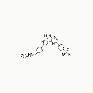 CC(C)S(=O)(=O)c1ccc(-c2cnc(N)c(C3=CC(c4ccc(CNCC5COC5)cc4)=NC3)n2)cc1